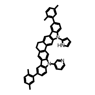 Cc1ccc(C)c(-c2ccc3c(c2)c2cc4c(cc2n3-c2cccnc2)-c2cc3c(cc2CC4)c2cc(-c4cc(C)ccc4C)ccc2n3-c2ccc[nH]2)c1